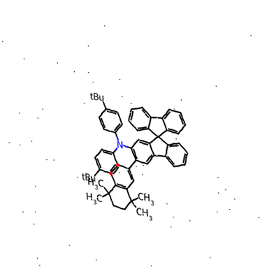 CC(C)(C)c1ccc(N(c2ccc(C(C)(C)C)cc2)c2cc3c(cc2-c2ccc4c(c2)C(C)(C)CCC4(C)C)-c2ccccc2C32c3ccccc3-c3ccccc32)cc1